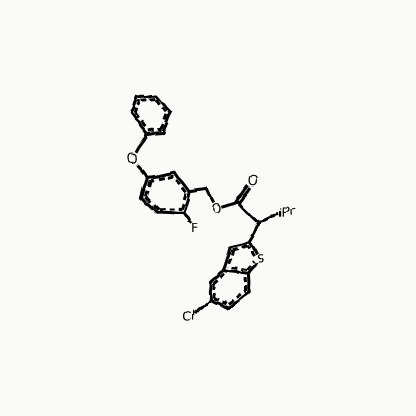 CC(C)C(C(=O)OCc1cc(Oc2ccccc2)ccc1F)c1cc2cc(Cl)ccc2s1